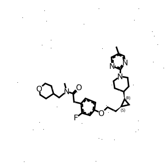 Cc1cnc(N2CCC([C@H]3C[C@H]3CCOc3ccc(CC(=O)N(C)CC4CCOCC4)c(F)c3)CC2)nc1